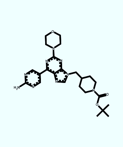 CC(C)(C)OC(=O)N1CCC(Cn2cnc3c(-c4cnc(N)nc4)nc(N4CCOCC4)nc32)CC1